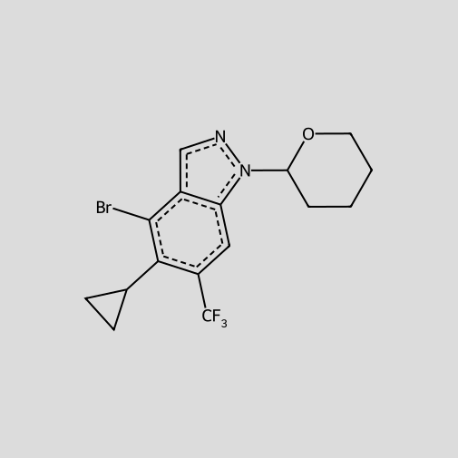 FC(F)(F)c1cc2c(cnn2C2CCCCO2)c(Br)c1C1CC1